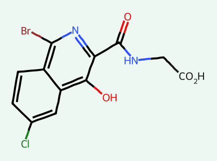 O=C(O)CNC(=O)c1nc(Br)c2ccc(Cl)cc2c1O